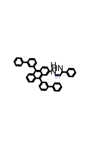 N=C(/C=C\Nc1ccc2c(-c3cccc(-c4ccccc4)c3)c3ccccc3c(-c3cccc(-c4ccccc4)c3)c2c1)c1ccccc1